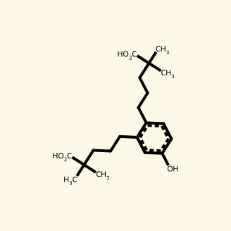 CC(C)(CCCc1ccc(O)cc1CCCC(C)(C)C(=O)O)C(=O)O